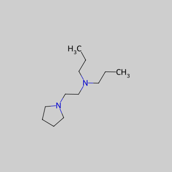 CCCN(CCC)CCN1CCCC1